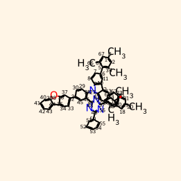 Cc1cc(C)c(-c2ccc3c(c2)c2cc(-c4c(C)cc(C)cc4C)ccc2n3-c2ccc(-c3ccc4c(c3)oc3ccccc34)cc2-c2nc(-c3ccccc3)nc(-c3ccccc3)n2)c(C)c1